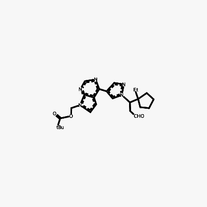 CCC1(C(CC=O)n2cc(-c3ncnc4c3ccn4COC(=O)C(C)(C)C)cn2)CCCC1